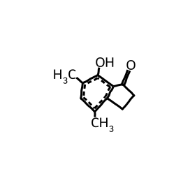 Cc1cc(C)c2c(c1O)C(=O)CC2